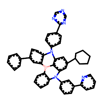 c1ccc(-c2ccc3c(c2)B2c4ccccc4N(c4cccc(-c5ccccn5)c4)c4cc(C5CCCCC5)cc(c42)N3c2ccc(-c3ncncn3)cc2)cc1